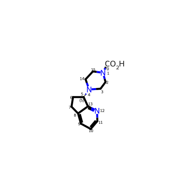 O=C(O)N1CCN([C@H]2CCc3cccnc32)CC1